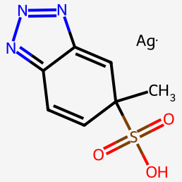 CC1(S(=O)(=O)O)C=CC2=NN=NC2=C1.[Ag]